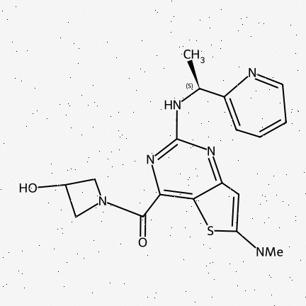 CNc1cc2nc(N[C@@H](C)c3ccccn3)nc(C(=O)N3CC(O)C3)c2s1